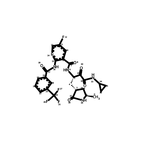 C[C@@H]1C[C@@H](C[C@H](NC(=O)c2cc(F)cnc2NC(=O)c2cccc(C(F)(F)F)c2)C(=O)C(=O)NC2CC2)C(=O)N1